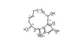 C[C@H]1C/C=C/CC/C=C/C(O)Cc2c(Cl)c(O)cc(O)c2C(=O)O1